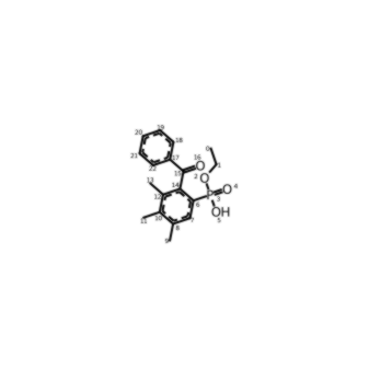 CCOP(=O)(O)c1cc(C)c(C)c(C)c1C(=O)c1ccccc1